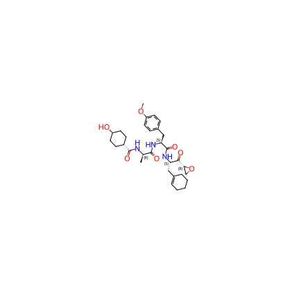 COc1ccc(C[C@H](NC(=O)[C@@H](C)NC(=O)[C@H]2CC[C@H](O)CC2)C(=O)N[C@@H](CC2=CCCCC2)C(=O)[C@H]2CO2)cc1